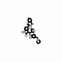 C[C@@H](NC(=O)c1ccc2c(c1)/C(=C(/Nc1ccc(CN3CCCCC3)cc1)c1ccsc1)C(=O)N2)c1ccccc1